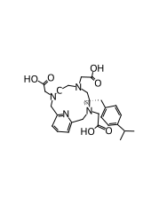 CC(C)c1ccc(C[C@H]2CN(CC(=O)O)CCN(CC(=O)O)Cc3cccc(n3)CN2CC(=O)O)cc1